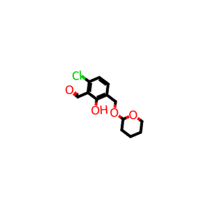 O=Cc1c(Cl)ccc(COC2CCCCO2)c1O